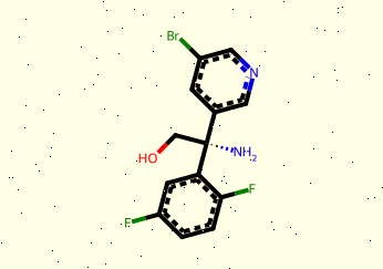 N[C@](CO)(c1cncc(Br)c1)c1cc(F)ccc1F